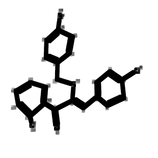 O=C(C(=Cc1ccc(Cl)cc1)SCc1ccc(Br)cc1)c1ccccc1Cl